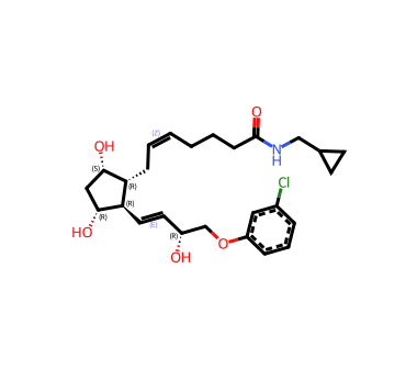 O=C(CCC/C=C\C[C@@H]1[C@@H](/C=C/[C@@H](O)COc2cccc(Cl)c2)[C@H](O)C[C@@H]1O)NCC1CC1